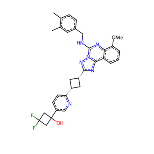 COc1cccc2c1nc(NCc1ccc(C)c(C)c1)n1nc([C@H]3C[C@@H](c4ccc(C5(O)CC(F)(F)C5)cn4)C3)nc21